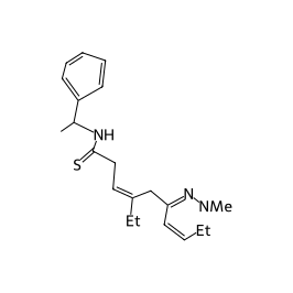 CC/C=C\C(C/C(=C\CC(=S)NC(C)c1ccccc1)CC)=N/NC